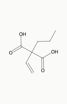 C=CC(CCC)(C(=O)O)C(=O)O